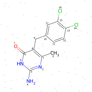 Cc1nc(N)[nH]c(=O)c1Cc1ccc(Cl)c(Cl)c1